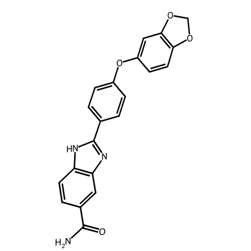 NC(=O)c1ccc2[nH]c(-c3ccc(Oc4ccc5c(c4)OCO5)cc3)nc2c1